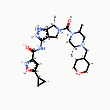 CC1CN(CC2CCOCC2)[C@H](C)CN1C(=O)N1Cc2c(NC(=O)c3cc(C4CC4)on3)n[nH]c2[C@@H]1C